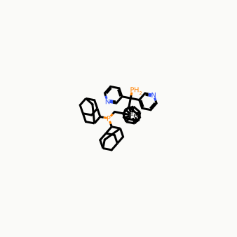 PC(c1cccnc1)(c1cccnc1)[C]12[CH]3[CH]4[CH]5[C]1(CP(C1C6CC7CC(C6)CC1C7)C1C6CC7CC(C6)CC1C7)[Fe]45321678[CH]2[CH]1[CH]6[CH]7[CH]28